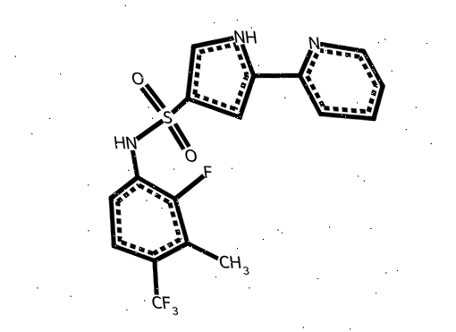 Cc1c(C(F)(F)F)ccc(NS(=O)(=O)c2c[nH]c(-c3ccccn3)c2)c1F